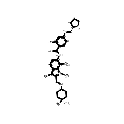 Cc1c(CN[C@H]2CC[C@](C)(O)CC2)n(C)c2c(C)c(NC(=O)c3ccc(OC[C@@H]4CCCO4)cc3F)ccc12